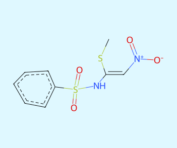 CS/C(=C\[N+](=O)[O-])NS(=O)(=O)c1ccccc1